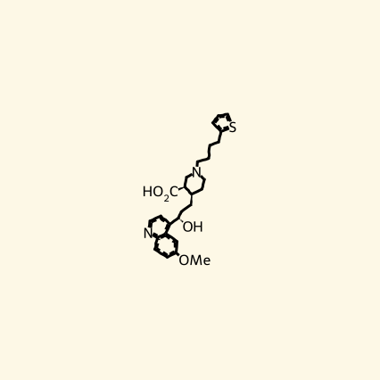 COc1ccc2nccc([C@@H](O)CC[C@@H]3CCN(CCCCc4cccs4)C[C@@H]3C(=O)O)c2c1